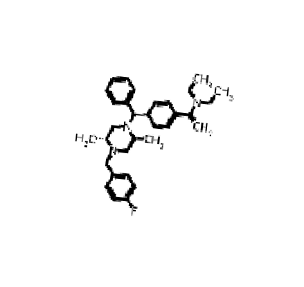 C=C(C1=CCC([C@H](c2ccccc2)N2C[C@@H](C)N(Cc3ccc(F)cc3)C[C@@H]2C)C=C1)N(CC)CC